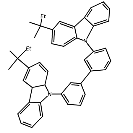 CCC(C)(C)C1=CC2c3ccccc3N(c3cccc(-c4cccc(-n5c6ccccc6c6cc(C(C)(C)CC)ccc65)c4)c3)C2C=C1